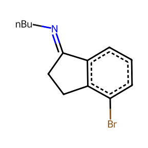 CCCCN=C1CCc2c(Br)cccc21